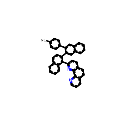 N#Cc1ccc(-c2cc3ccccc3cc2-c2ccc3ccccc3c2-c2ccc3ccc4cccnc4c3n2)cc1